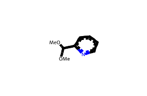 COC(OC)c1c[c]ccn1